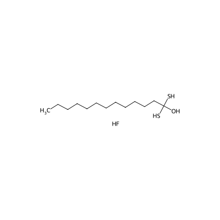 CCCCCCCCCCCCC(O)(S)S.F